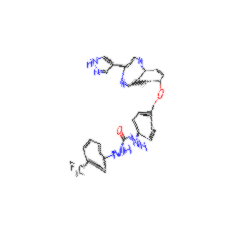 O=C(Nc1ccc(Oc2ccc3ncc(-c4cn[nH]c4)nc3c2)cc1)Nc1cccc(C(F)(F)F)c1